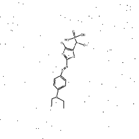 CCN(CC)c1ccc(/N=N/c2nc(Cl)c(C(O)P(=O)(O)O)s2)cc1